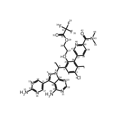 Cc1c(Cl)cc(C(C)n2nc(-c3cnc(N)nc3)c3c(N)ncnc32)c(OCCOC(=O)C(F)(F)F)c1-c1ccc(C(=O)N(C)C)nc1